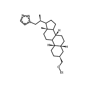 CCOC[C@H]1CC[C@@H]2C3CC[C@@]4(C)C(CCC4[C@H](C)Cn4ccnn4)[C@@H]3CC[C@@H]2C1